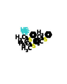 CCC(C)Sc1ccccc1.CCC(C)Sc1ccccc1.CCC(C)Sc1ccccc1.F.F.F